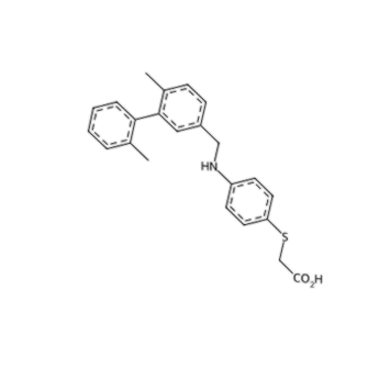 Cc1ccccc1-c1cc(CNc2ccc(SCC(=O)O)cc2)ccc1C